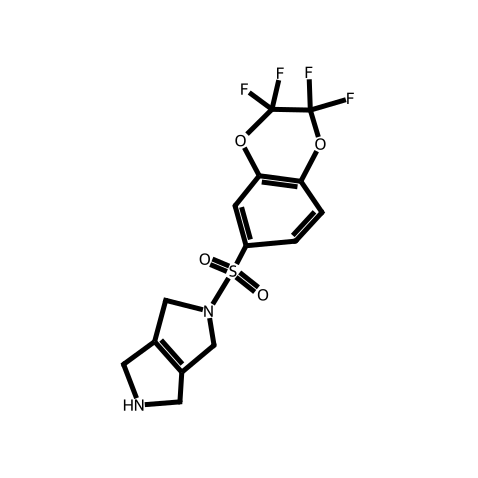 O=S(=O)(c1ccc2c(c1)OC(F)(F)C(F)(F)O2)N1CC2=C(CNC2)C1